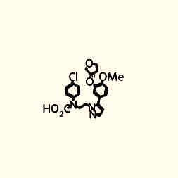 COc1ccc(-c2ccnn2CCN(C(=O)O)c2ccc(Cl)cc2)cc1O[C@@H]1CCOC1